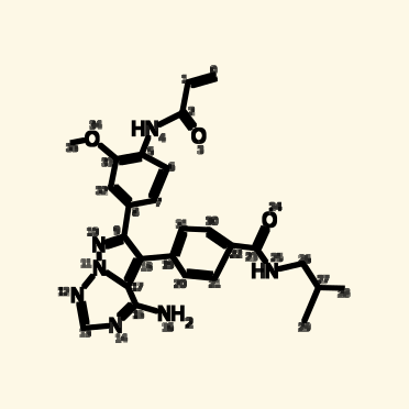 C=CC(=O)Nc1ccc(-c2nn3ncnc(N)c3c2-c2ccc(C(=O)NCC(C)C)cc2)cc1OC